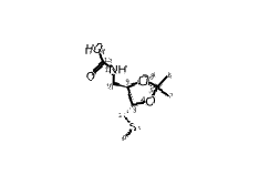 CSC[C@H]1OC(C)(C)O[C@@H]1CNC(=O)O